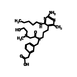 CCCCCNc1nc(N)nc(C)c1CCCN(Cc1cccc(CC(=O)O)c1)C(=O)CN(C)CCO